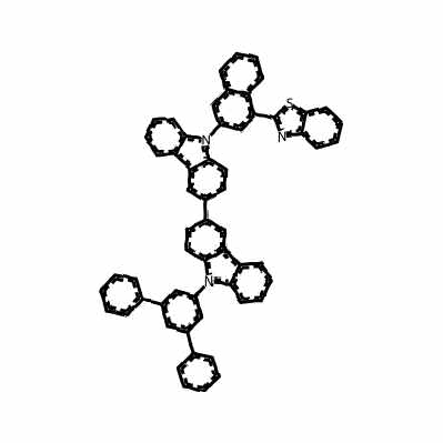 c1ccc(-c2cc(-c3ccccc3)cc(-n3c4ccccc4c4cc(-c5ccc6c(c5)c5ccccc5n6-c5cc(-c6nc7ccccc7s6)c6ccccc6c5)ccc43)c2)cc1